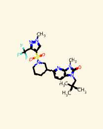 Cn1cc(S(=O)(=O)N2CCCC(c3ccc4c(n3)n(C)c(=O)n4CC(C)(C)C)C2)c(C(F)(F)F)n1